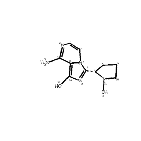 Nc1nccn2c([C@@H]3CCCN3O)nc(O)c12